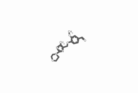 COc1cc(C=O)ccc1OCc1nc(N2CCOCC2)sc1C